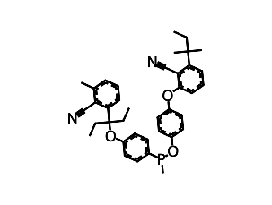 CCC(C)(C)c1cccc(Oc2ccc(OP(C)c3ccc(OC(CC)(CC)c4cccc(C)c4C#N)cc3)cc2)c1C#N